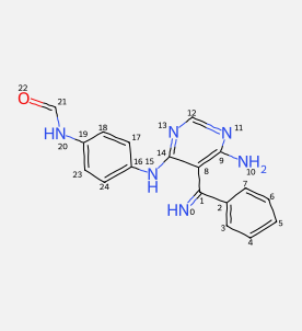 N=C(c1ccccc1)c1c(N)ncnc1Nc1ccc(NC=O)cc1